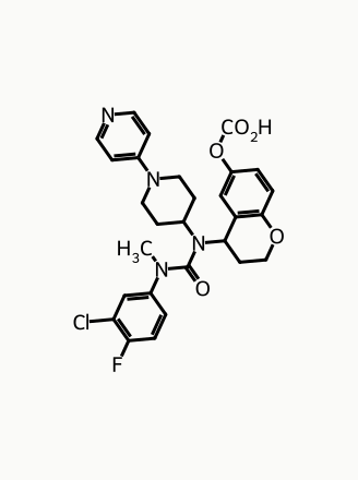 CN(C(=O)N(C1CCN(c2ccncc2)CC1)C1CCOc2ccc(OC(=O)O)cc21)c1ccc(F)c(Cl)c1